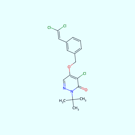 CC(C)(C)n1ncc(OCc2cccc(C=C(Cl)Cl)c2)c(Cl)c1=O